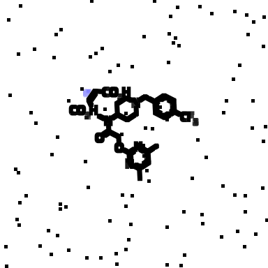 Cc1cc(C)nc(OCC(=O)N(C)C2CCN(Cc3ccc(C(F)(F)F)cc3)CC2)n1.O=C(O)/C=C\C(=O)O